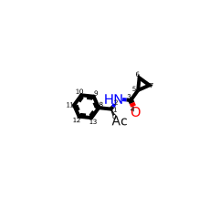 CC(=O)[C@H](NC(=O)C1CC1)c1ccccc1